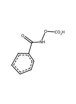 O=C(O)ONC(=O)c1ccccc1